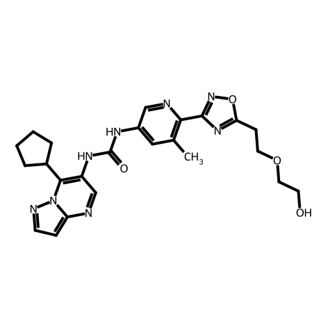 Cc1cc(NC(=O)Nc2cnc3ccnn3c2C2CCCC2)cnc1-c1noc(CCOCCO)n1